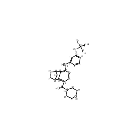 O=C(c1cnc(Nc2cccc(OC(F)(F)F)c2)c2c1C1CCC2C1)N1CCOCC1